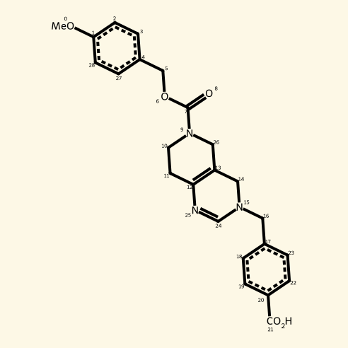 COc1ccc(COC(=O)N2CCC3=C(CN(Cc4ccc(C(=O)O)cc4)C=N3)C2)cc1